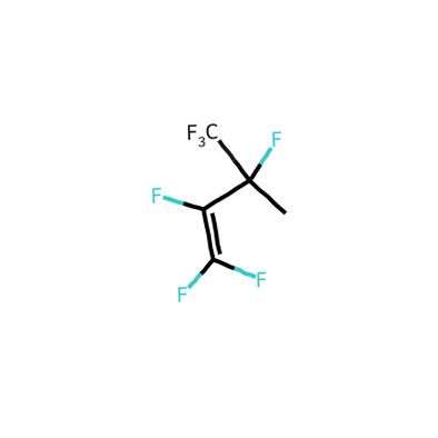 CC(F)(C(F)=C(F)F)C(F)(F)F